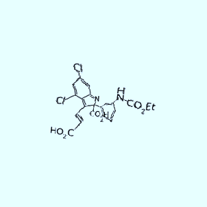 CCOC(=O)Nc1cccc(C2(C(=O)O)N=c3cc(Cl)cc(Cl)c3=C2/C=C/C(=O)O)c1